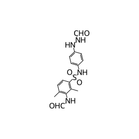 Cc1ccc(S(=O)(=O)Nc2ccc(NNC=O)cc2)c(C)c1NC=O